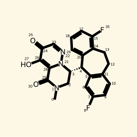 CN1C[C@@H](C2c3cc(F)ccc3CCc3c(F)cccc32)n2ncc(=O)c(O)c2C1=O